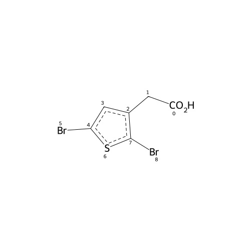 O=C(O)Cc1cc(Br)sc1Br